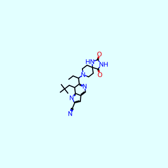 CCC(C1=NC=C2C=C(C#N)N=C2C1CC(C)(C)C)N1CCC2(CC1)NC(=O)NC2=O